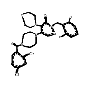 O=C(c1ccc(Cl)cc1Cl)N1CCN(c2cnn(Cc3c(F)cccc3Cl)c(=O)c2N2CCOCC2)CC1